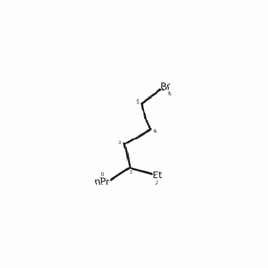 [CH2]CCC(CC)CCCBr